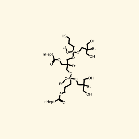 CCCCCCCC(=O)OCC(CC)(CO[Si](CCCS)(OCC)OCC(CC)(CO)CO)CO[Si](CCCSC(=O)CCCCCCC)(OCC)OCC(CC)(CO)CO